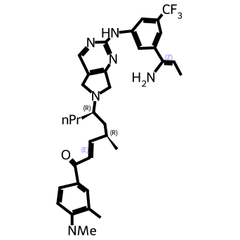 C/C=C(\N)c1cc(Nc2ncc3c(n2)CN([C@H](CCC)C[C@@H](C)/C=C/C(=O)c2ccc(NC)c(C)c2)C3)cc(C(F)(F)F)c1